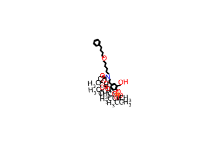 CC(C)(C)OC(=O)OC(CN(CCCCCCOCCCCc1ccccc1)C(=O)OC(C)(C)C)c1ccc(OP(=O)(OC(C)(C)C)OC(C)(C)C)c(CO)c1